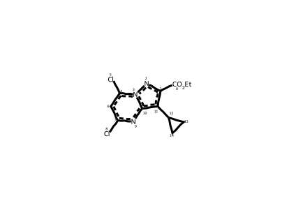 CCOC(=O)c1nn2c(Cl)cc(Cl)nc2c1C1CC1